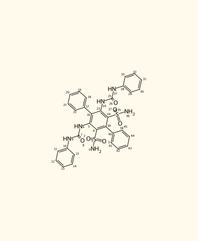 NS(=O)(=O)c1c(NC(=O)Nc2ccccc2)c(-c2ccccc2)c(NC(=O)Nc2ccccc2)c(S(N)(=O)=O)c1-c1ccccc1